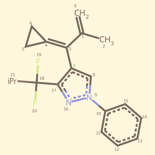 C=C(C)C(=C1CC1)c1cn(-c2ccccc2)nc1C(F)(F)C(C)C